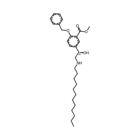 CCCCCCCCCCCCNC[C@H](O)c1ccc(OCc2ccccc2)c(C(=O)OC)c1